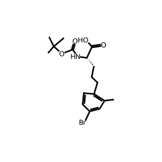 Cc1cc(Br)ccc1CCC[C@H](NC(=O)OC(C)(C)C)C(=O)O